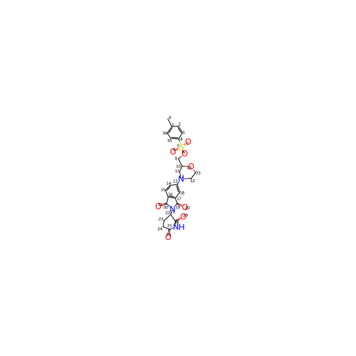 Cc1ccc(S(=O)(=O)OCC2CN(c3ccc4c(c3)C(=O)N(C3CCC(=O)NC3=O)C4=O)CCO2)cc1